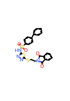 O=C1c2ccccc2C(=O)N1CCSc1nnc(NS(=O)(=O)c2ccc(-c3ccccc3)cc2)s1